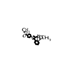 CCOC(=O)c1ccc(-n2cc(C#N)c(-c3ccccc3OCOC)c2)cc1